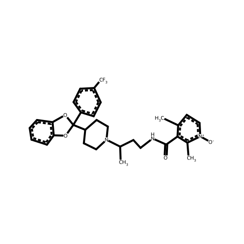 Cc1cc[n+]([O-])c(C)c1C(=O)NCCC(C)N1CCC(C2(c3ccc(C(F)(F)F)cc3)Oc3ccccc3O2)CC1